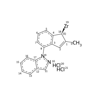 CC1=Cc2c(cccc2-n2ncc3ccccc32)[C@H]1[Zr].Cl.Cl